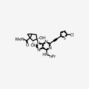 CCCNc1nc(C#Cc2ccc(Cl)s2)nc2c1ncn2[C@]1(O)CC2CC2(C(=O)NC)[C@H]1O